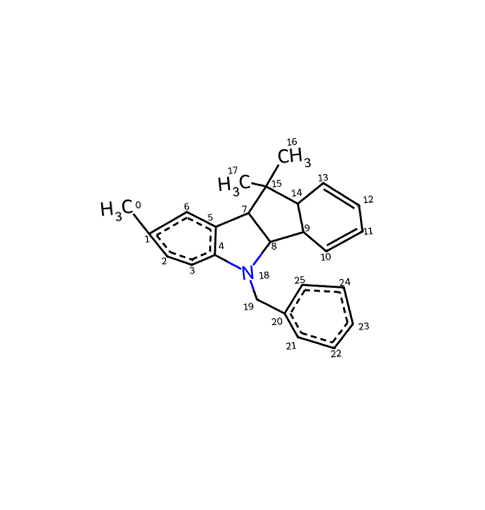 Cc1ccc2c(c1)C1C(C3C=CC=CC3C1(C)C)N2Cc1ccccc1